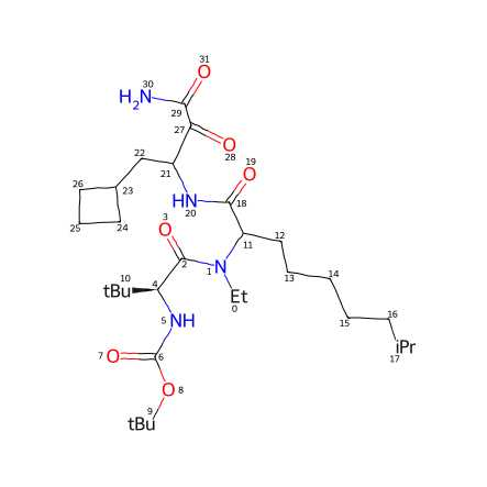 CCN(C(=O)[C@@H](NC(=O)OC(C)(C)C)C(C)(C)C)C(CCCCCC(C)C)C(=O)NC(CC1CCC1)C(=O)C(N)=O